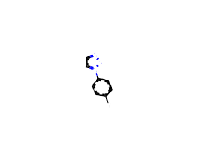 CC(C)c1ccc(-n2c[c]nn2)cc1